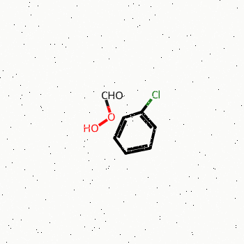 Clc1ccccc1.O=COO